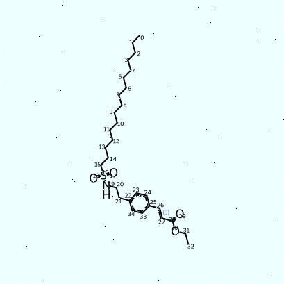 CCCCCCCCCCCCCCCCS(=O)(=O)NCCc1ccc(/C=C/C(=O)OCC)cc1